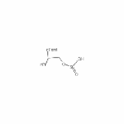 CCCCCC(CCC)CO[Si](=O)O